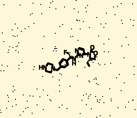 CC[C@H]1COC(=O)N1c1ccnc(N[C@@H](CF)c2ccc(CN3CCNCC3)cc2)n1